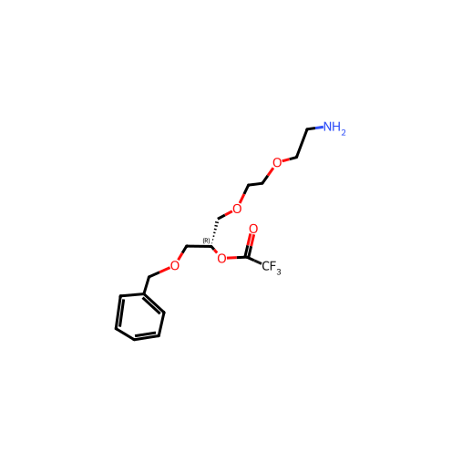 NCCOCCOC[C@@H](COCc1ccccc1)OC(=O)C(F)(F)F